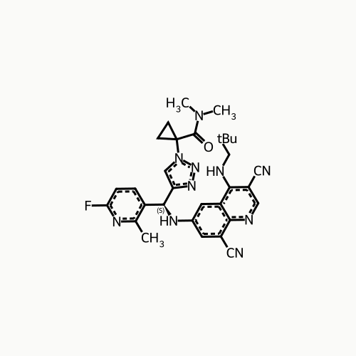 Cc1nc(F)ccc1[C@H](Nc1cc(C#N)c2ncc(C#N)c(NCC(C)(C)C)c2c1)c1cn(C2(C(=O)N(C)C)CC2)nn1